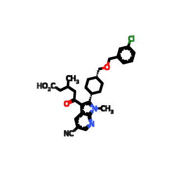 CC(CC(=O)O)CC(=O)c1c2cc(C#N)cnc2n(C)c1[C@H]1CC[C@@H](COCc2cccc(Cl)c2)CC1